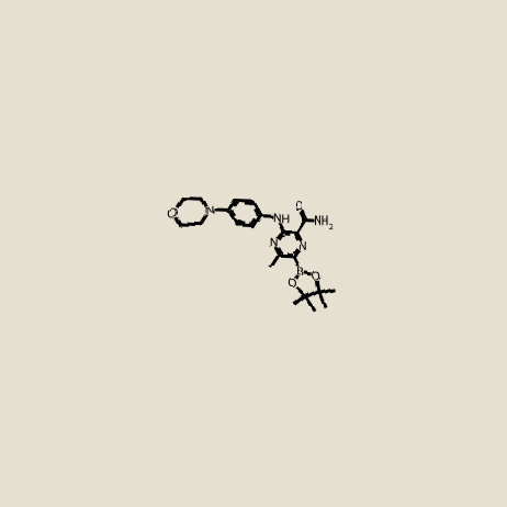 Cc1nc(Nc2ccc(N3CCOCC3)cc2)c(C(N)=O)nc1B1OC(C)(C)C(C)(C)O1